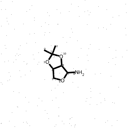 CC1(C)OC2COC(N)C2O1